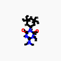 CN(C)c1nc(=O)n(C2CC(C)(C)CC(C)(C)C2)c(=O)n1C